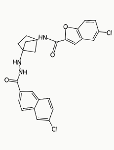 O=C(NNC12CCC(NC(=O)c3cc4cc(Cl)ccc4o3)(C1)C2)c1ccc2cc(Cl)ccc2c1